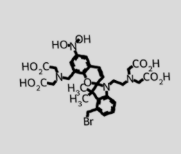 CC1(C)c2c(CBr)cccc2N(CCN(CC(=O)O)CC(=O)O)C12C=Cc1cc(N(O)O)cc(CN(CC(=O)O)CC(=O)O)c1O2